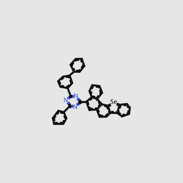 c1ccc(-c2cccc(-c3nc(-c4ccccc4)nc(-c4cc5ccc6c7ccccc7[se]c6c5c5ccccc45)n3)c2)cc1